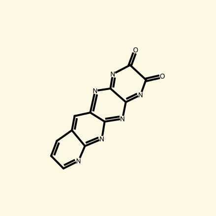 O=C1N=c2nc3cc4cccnc4nc3nc2=NC1=O